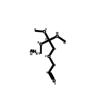 COC(COCC=O)(OC)OC.[AlH3]